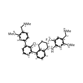 CNCc1ccc(-c2ccnc(-c3cccc4c3CCC[C@@H]4Nc3nc(OC)c(CNC)cc3C(F)(F)F)c2Cl)nc1OC